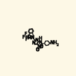 N[C@H]1CC[C@@H](CNc2nc(NCc3ccccc3OC(F)(F)F)ncc2[N+](=O)[O-])CC1